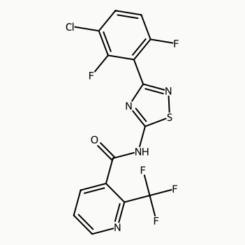 O=C(Nc1nc(-c2c(F)ccc(Cl)c2F)ns1)c1cccnc1C(F)(F)F